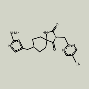 CC(=O)Nc1ncc(CN2CCC3(CC2)NC(=O)N(Cc2ncc(C#N)cn2)C3=O)s1